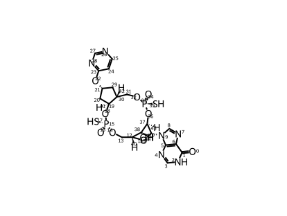 O=c1[nH]cnc2c1ncn2[C@@H]1O[C@@H]2CO[P@](=O)(S)O[C@H]3C[C@H](Oc4ccncn4)C[C@@H]3CO[P@@](=O)(S)O[C@@H]1[C@@H]2O